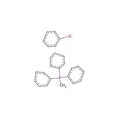 C[P+](c1ccccc1)(c1ccccc1)c1ccccc1.[O-]c1ccccc1